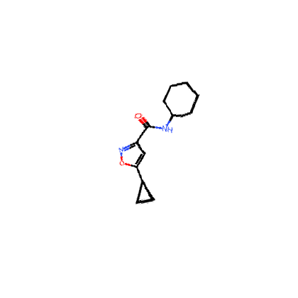 O=C(NC1CCCCC1)c1cc(C2CC2)on1